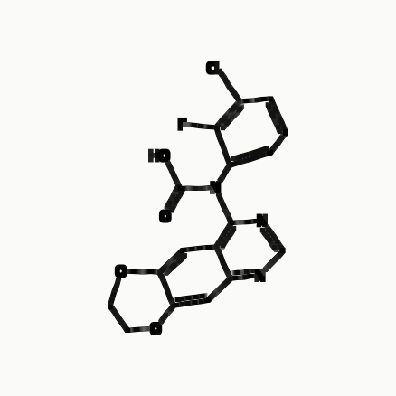 O=C(O)N(c1cccc(Cl)c1F)c1ncnc2cc3c(cc12)OCCO3